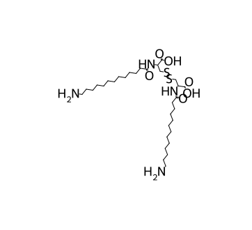 NCCCCCCCCCCCCC(=O)NC(CSSCC(NC(=O)CCCCCCCCCCCCN)C(=O)O)C(=O)O